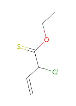 C=CC(Cl)C(=S)OCC